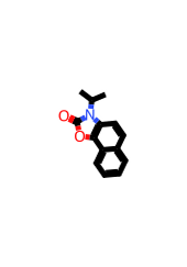 CC(C)n1c(=O)oc2c3ccccc3ccc21